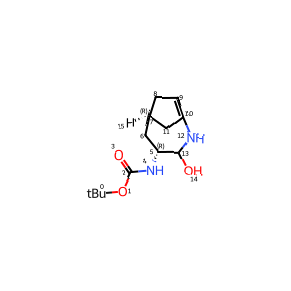 CC(C)(C)OC(=O)N[C@@H]1C[C@H]2CC=C(C2)NC1O